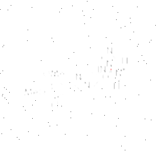 COc1cc(OC)c(-c2cn3ccc(N[C@@H]4C[C@H]5CC[C@@H](C4)N5C(=O)n4ccnc4)cc3n2)cc1Cl